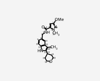 COc1cc(C(=O)NCc2ccc3[nH]c(C4CCOCC4)c(C)c3c2)n(C)n1